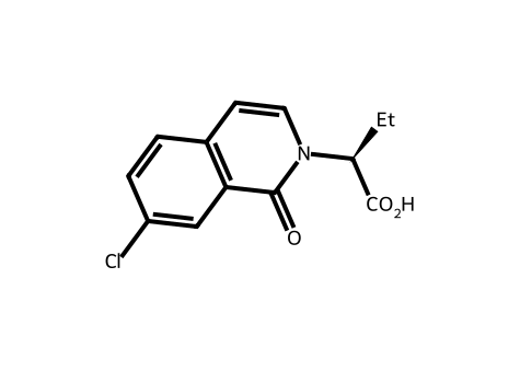 CC[C@@H](C(=O)O)n1ccc2ccc(Cl)cc2c1=O